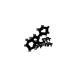 CC[CH2][Ti]([CH2]CC)([CH2]CC)[CH]1C(c2ccccc2)=Cc2ccccc21